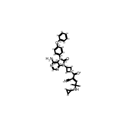 CC(C)(C=C(C#N)C(=O)N1CC(n2c(=O)n(-c3ccc(Oc4ccccc4)cc3)c3c(N)ncnc32)C1)NC1CC1